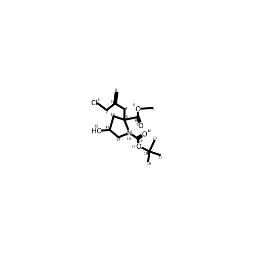 C=C(CCl)CC1(C(=O)OC)CC(O)CN1C(=O)OC(C)(C)C